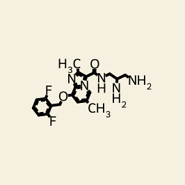 Cc1cc(OCc2c(F)cccc2F)c2nc(C)c(C(=O)NCC(N)CN)n2c1